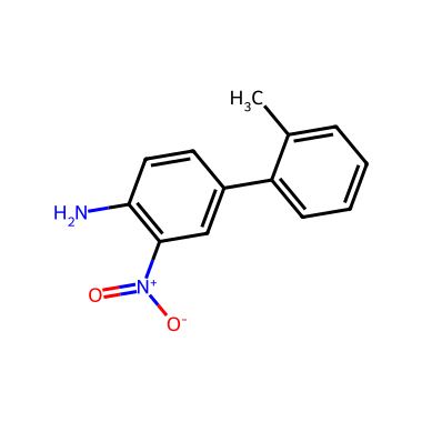 Cc1ccccc1-c1ccc(N)c([N+](=O)[O-])c1